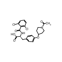 CC(=O)N1CCC(Oc2ccc(C[C@H](NC(=O)c3c(Cl)cccc3Cl)C(=O)O)cc2)CC1